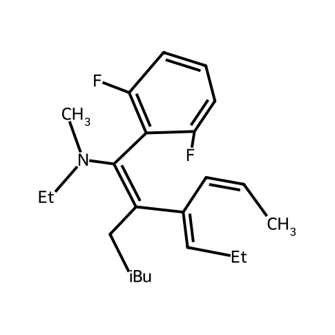 C\C=C/C(=C\CC)C(/CC(C)CC)=C(\c1c(F)cccc1F)N(C)CC